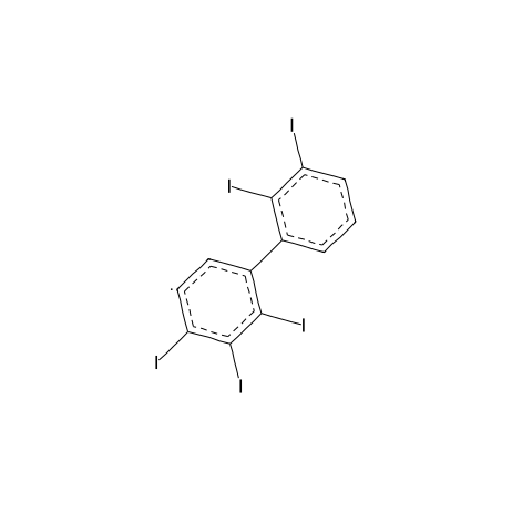 Ic1[c]cc(-c2cccc(I)c2I)c(I)c1I